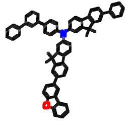 CC1(C)c2cc(-c3ccccc3)ccc2-c2ccc(N(c3ccc(-c4cccc(-c5ccccc5)c4)cc3)c3ccc4c(c3)C(C)(C)c3cc(-c5ccc6oc7ccccc7c6c5)ccc3-4)cc21